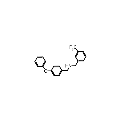 FC(F)(F)c1cccc(CNCc2ccc(Oc3ccccc3)cc2)c1